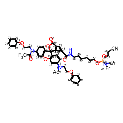 CC(=O)N(CCOc1ccccc1)c1ccc2c(c1)Oc1cc(N(CCOc3ccccc3)C(=O)C(F)(F)F)ccc1C21OC(=O)c2ccc(C(=O)NCCCCCCOP(OCCC#N)N(C(C)C)C(C)C)cc21